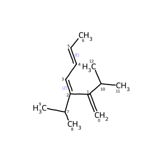 C=C(/C(=C\C=C\C)C(C)C)C(C)C